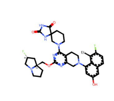 CCc1c(F)ccc2cc(O)cc(N3CCc4c(nc(OC[C@@]56CCCN5C[C@H](F)C6)nc4N4CCCC5(C4)NC(=O)NC5=O)C3)c12